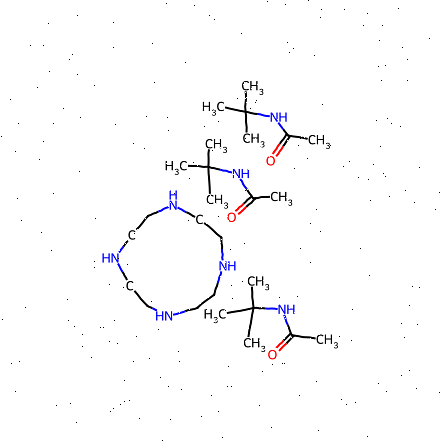 C1CNCCNCCNCCN1.CC(=O)NC(C)(C)C.CC(=O)NC(C)(C)C.CC(=O)NC(C)(C)C